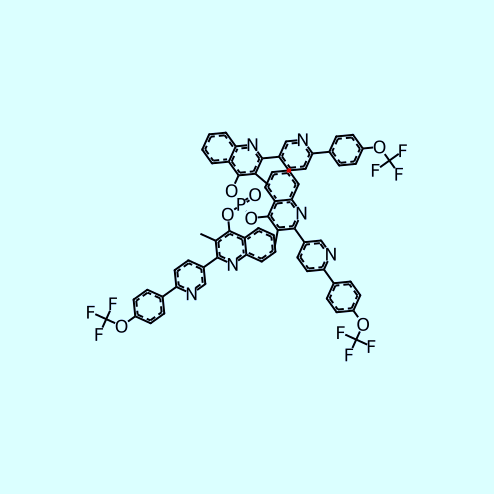 Cc1c(-c2ccc(-c3ccc(OC(F)(F)F)cc3)nc2)nc2ccccc2c1OP(=O)(Oc1c(C)c(-c2ccc(-c3ccc(OC(F)(F)F)cc3)nc2)nc2ccccc12)Oc1c(C)c(-c2ccc(-c3ccc(OC(F)(F)F)cc3)nc2)nc2ccccc12